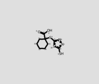 O=C(O)C1(Sc2nnc(S)s2)CCCCC1